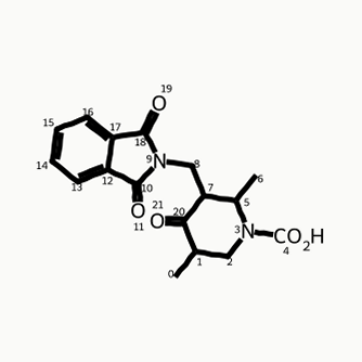 CC1CN(C(=O)O)C(C)C(CN2C(=O)c3ccccc3C2=O)C1=O